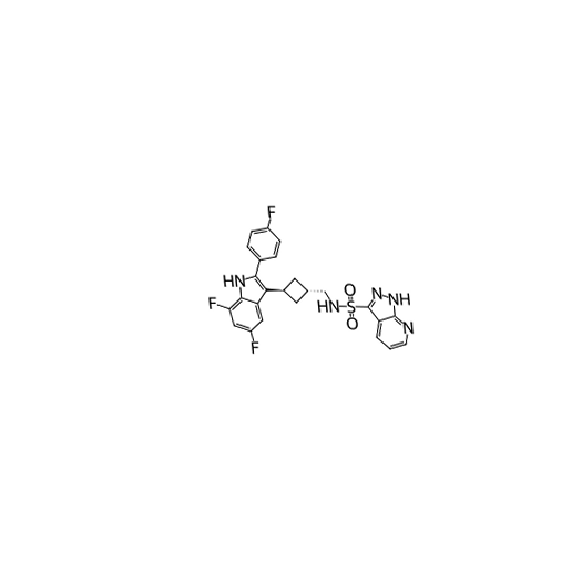 O=S(=O)(NC[C@H]1C[C@H](c2c(-c3ccc(F)cc3)[nH]c3c(F)cc(F)cc32)C1)c1n[nH]c2ncccc12